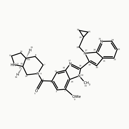 COc1cc(C(=O)N2CC[C@@H]3CCN[C@@H]3C2)cc2nc(-c3cc4cccnc4n3CC3CC3)n(C)c12